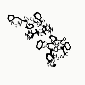 CC(C)(O)c1cnnn1[C@H]1C[C@@H](C(=O)NC2(C(=O)C(=O)NCC(C)(O)c3cnnn3[C@H]3C[C@@H](C(=O)NC4(C(=O)C(N)=O)CCCCC4)N(C(=O)[C@@H](CC4CCCCC4)NC(=O)c4ccc5nccn5c4)C3)CCCCC2)N(C(=O)[C@H](N)CC2CCCCC2)C1